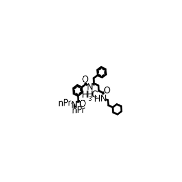 CCCN(CCC)C(=O)c1cccc(C(=O)N[C](Cc2ccccc2)C[C@@H](C)C(=O)NCCC2CCCCC2)c1